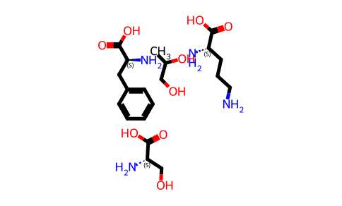 CC(O)CO.NCCC[C@H](N)C(=O)O.N[C@@H](CO)C(=O)O.N[C@@H](Cc1ccccc1)C(=O)O